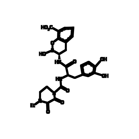 CCN1CCN(C(=O)NC(Cc2ccc(O)c(O)c2)C(=O)N[C@H]2Cc3cccc(C(=O)O)c3OB2O)C(=O)C1=O